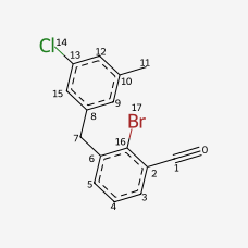 C#Cc1cccc(Cc2cc(C)cc(Cl)c2)c1Br